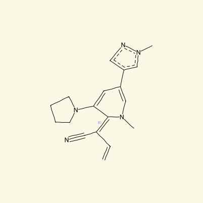 C=C/C(C#N)=C1/C(N2CCCC2)=CC(c2cnn(C)c2)=CN1C